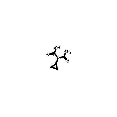 CC(=O)N(C(=O)O)C1CC1